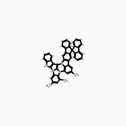 Cc1cc2c3c(c1)-n1c4c(C)cc(C)cc4n4c5oc6ccccc6c5c(c14)B3c1cc3c(cc1-2)C1(c2ccccc2-c2ccccc21)c1ccccc1-3